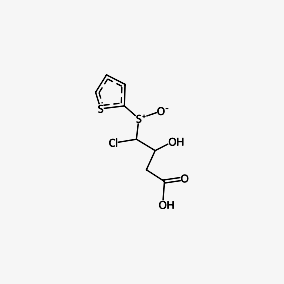 O=C(O)CC(O)C(Cl)[S+]([O-])c1cccs1